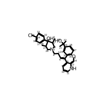 CC1CN(CCC=C2C3=CC=CNC3=COc3ccc(C(C)(C)O)cc32)CC(C)C1(O)c1ccc(Cl)cc1